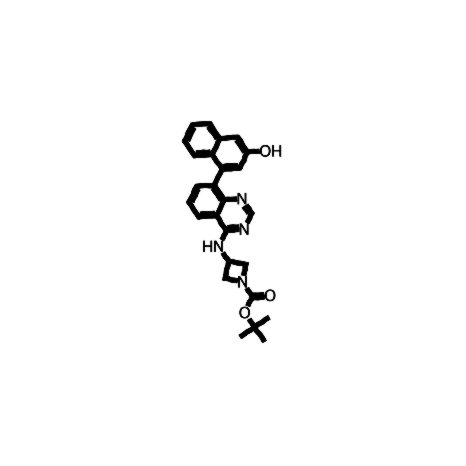 CC(C)(C)OC(=O)N1CC(Nc2ncnc3c(-c4cc(O)cc5ccccc45)cccc23)C1